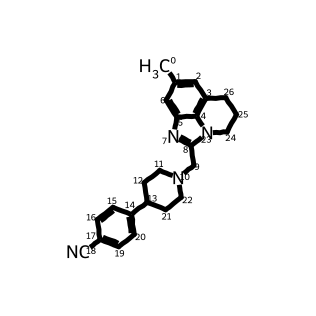 Cc1cc2c3c(c1)nc(CN1CCC(c4ccc(C#N)cc4)CC1)n3CCC2